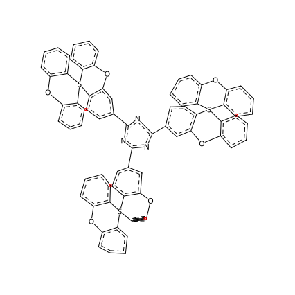 c1ccc2c(c1)Oc1ccccc1S21c2ccccc2Oc2cc(-c3nc(-c4ccc5c(c4)Oc4ccccc4S54c5ccccc5Oc5ccccc54)nc(-c4ccc5c(c4)Oc4ccccc4S54c5ccccc5Oc5ccccc54)n3)ccc21